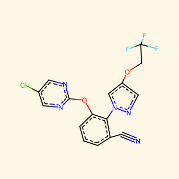 N#Cc1cccc(Oc2ncc(Cl)cn2)c1-n1cc(OCC(F)(F)F)cn1